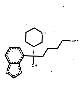 COCCCCC(O)(c1cccc2sccc12)[C@@H]1CCCNC1